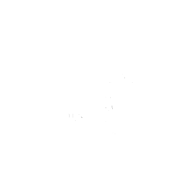 CC(N)C(=O)O.NC(=O)c1cccc2ccccc12